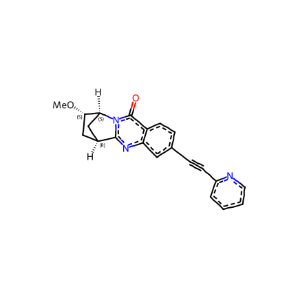 CO[C@H]1C[C@H]2C[C@@H]1n1c2nc2cc(C#Cc3ccccn3)ccc2c1=O